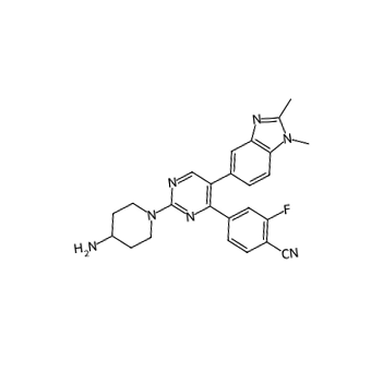 Cc1nc2cc(-c3cnc(N4CCC(N)CC4)nc3-c3ccc(C#N)c(F)c3)ccc2n1C